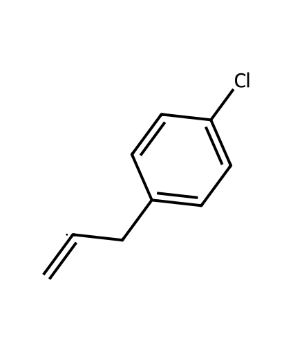 C=[C]Cc1ccc(Cl)cc1